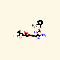 Cc1ccccc1COC(=O)Nc1c(N)nsc1C#Cc1cc2cc(C3(C(=O)O)CC3)oc2o1